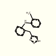 [CH2]c1ccccc1Nc1ccccc1Cc1c[nH]nn1